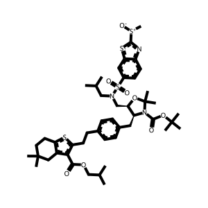 CC(C)COC(=O)c1c(CCc2ccc(C[C@H]3[C@@H](CN(CC(C)C)S(=O)(=O)c4ccc5nc([S+](C)[O-])sc5c4)OC(C)(C)N3C(=O)OC(C)(C)C)cc2)sc2c1CC(C)(C)CC2